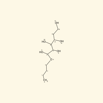 CCCCOC(O)C(O)C(O)C(O)CCO